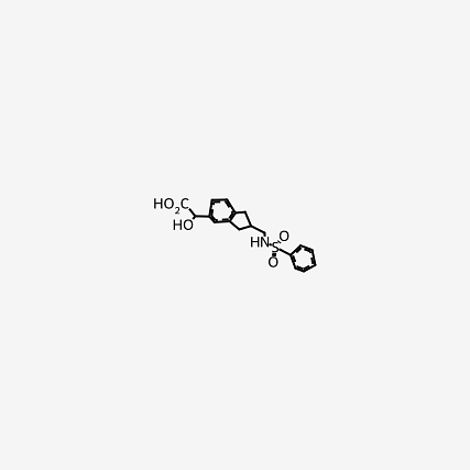 O=C(O)C(O)c1ccc2c(c1)CC(CNS(=O)(=O)c1ccccc1)C2